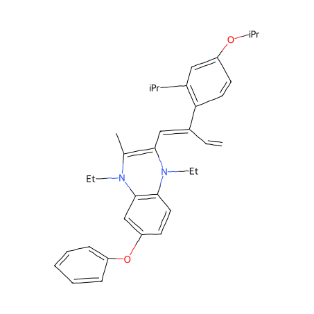 C=C/C(=C\C1=C(C)N(CC)c2cc(Oc3ccccc3)ccc2N1CC)c1ccc(OC(C)C)cc1C(C)C